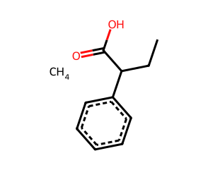 C.CCC(C(=O)O)c1ccccc1